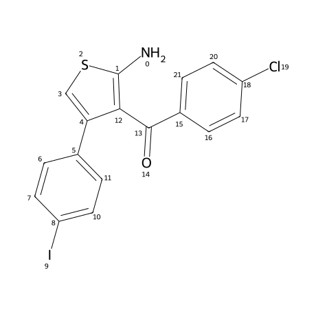 Nc1scc(-c2ccc(I)cc2)c1C(=O)c1ccc(Cl)cc1